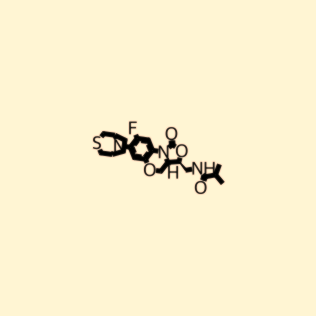 CC(C)C(=O)NC[C@@H]1OC(=O)N2c3cc(F)c(N4C5CCC4CSC5)cc3OC[C@@H]12